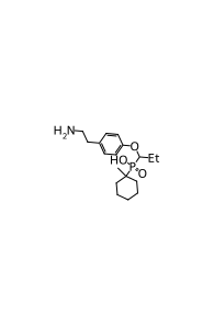 CCC(Oc1ccc(CCN)cc1)P(=O)(O)C1(C)CCCCC1